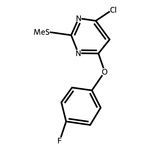 CSc1nc(Cl)cc(Oc2ccc(F)cc2)n1